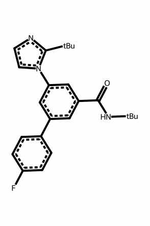 CC(C)(C)NC(=O)c1cc(-c2ccc(F)cc2)cc(-n2ccnc2C(C)(C)C)c1